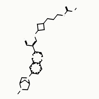 CN1CC2CC1CN2c1ccc2ncc(/C(C=N)=C/NC3CC(CCCNC(=O)OC(C)(C)C)C3)nc2c1